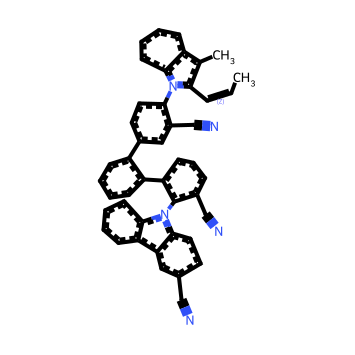 C/C=C\c1c(C)c2ccccc2n1-c1ccc(-c2ccccc2-c2cccc(C#N)c2-n2c3ccccc3c3cc(C#N)ccc32)cc1C#N